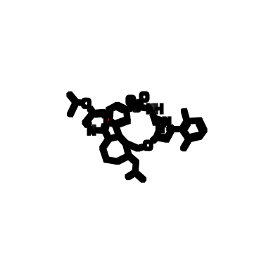 Cc1cccc(C)c1-c1cc2nc(n1)NS(=O)(=O)c1cccc(c1)C1C(c3ncc(OC(C)C)cn3)CCCC(CC(C)C)C1CO2